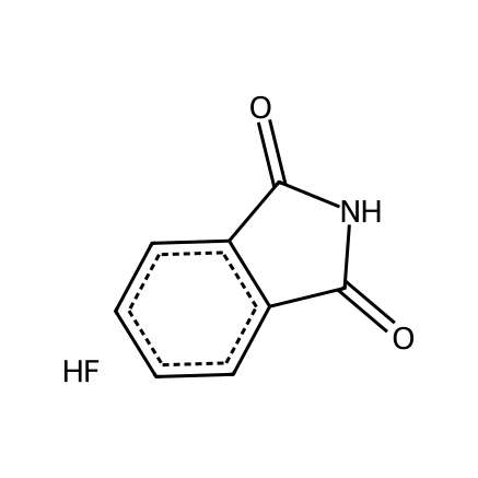 F.O=C1NC(=O)c2ccccc21